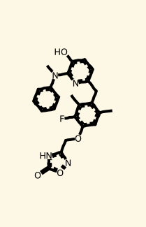 Cc1cc(OCc2noc(=O)[nH]2)c(F)c(C)c1Cc1ccc(O)c(N(C)c2ccccc2)n1